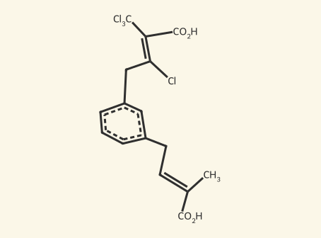 CC(=CCc1cccc(CC(Cl)=C(C(=O)O)C(Cl)(Cl)Cl)c1)C(=O)O